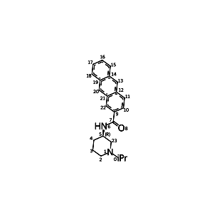 CC(C)N1CCC[C@@H](NC(=O)c2ccc3cc4ccccc4cc3c2)C1